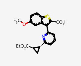 CCOC(=O)[C@@H]1C[C@H]1c1cccc(-c2c(C(=O)O)sc3ccc(OC(F)(F)F)cc23)n1